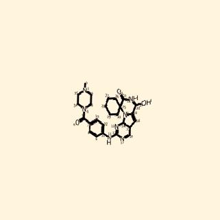 CN1CCN(C(=O)c2ccc(NC3=NC4C(C=N3)C=C3C(O)NC(=O)C5(CCCCC5)N34)cc2)CC1